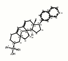 CC[N+](O)(C(C)C)[C@H]1CCC2=CC3=CC[C@]4(C)[C@@H](c5ccc6ccncc6c5)CC[C@H]4[C@@]34CC[C@]2(C1)O4